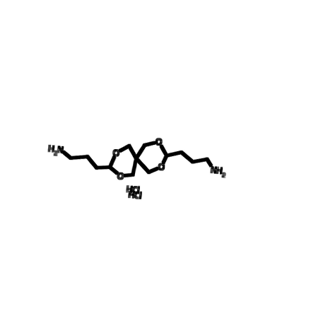 Cl.Cl.NCCCC1OCC2(CO1)COC(CCCN)OC2